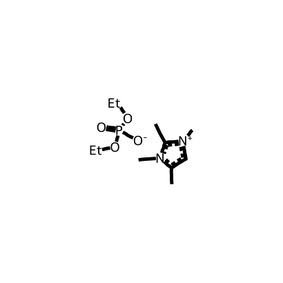 CCOP(=O)([O-])OCC.Cc1c[n+](C)c(C)n1C